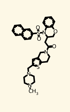 CN1CCN(Cc2cc3c(s2)CCN(C(=O)CC2COc4ccccc4N2S(=O)(=O)c2ccc4ccccc4c2)C3)CC1